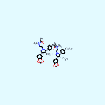 CCC(=O)N(C)CCN1C[C@H](c2ccc3c(c2)OCO3)[C@H](C(=O)O)[C@H]1c1ccc(OC)cc1.COc1ccc([C@@H]2[C@@H](C(=O)O)[C@@H](c3ccc4c(c3)OCO4)CN2CCN(C)C(=O)C(C)C)cc1